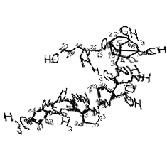 C/C(NCC12CC3(C)CC(C)(C1)CC(OCCNCCCO)(C3)C2)=C(/C=N)c1ccc(N2CCCc3c2nnc(Nc2nc4cc(C)ccc4s2)c3C)nc1C(=O)O